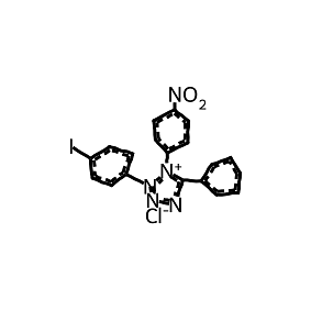 O=[N+]([O-])c1ccc(-[n+]2c(-c3ccccc3)nnn2-c2ccc(I)cc2)cc1.[Cl-]